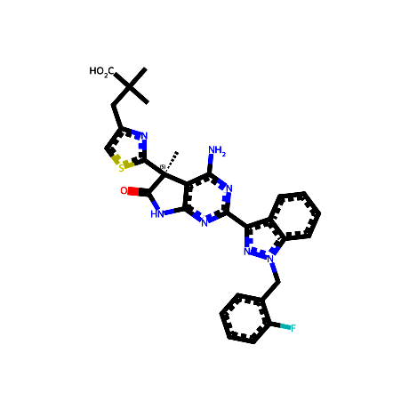 CC(C)(Cc1csc([C@]2(C)C(=O)Nc3nc(-c4nn(Cc5ccccc5F)c5ccccc45)nc(N)c32)n1)C(=O)O